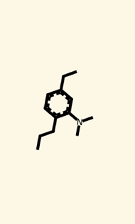 CCCc1ccc(CC)cc1N(C)C